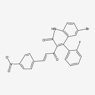 O=C(/C=C/c1ccc([N+](=O)[O-])cc1)c1c(-c2ccccc2F)c2cc(Br)ccc2[nH]c1=O